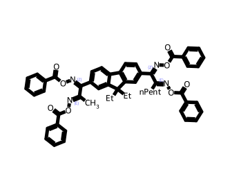 CCCCCC(=N\OC(=O)c1ccccc1)/C(=N\OC(=O)c1ccccc1)c1ccc2c(c1)C(CC)(CC)c1cc(C(=N/OC(=O)c3ccccc3)/C(C)=N/OC(=O)c3ccccc3)ccc1-2